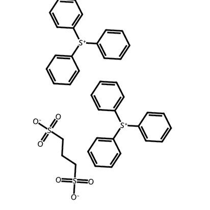 O=S(=O)([O-])CCCS(=O)(=O)[O-].c1ccc([S+](c2ccccc2)c2ccccc2)cc1.c1ccc([S+](c2ccccc2)c2ccccc2)cc1